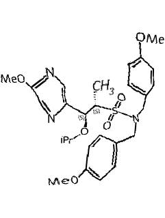 COc1ccc(CN(Cc2ccc(OC)cc2)S(=O)(=O)[C@@H](C)[C@@H](OC(C)C)c2cnc(OC)cn2)cc1